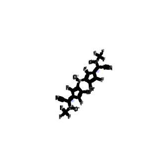 N#C/C(=C1/C(F)=C(Br)C([S+]([O-])C2=C(F)/C(=C(/C#N)[S+]([O-])C(F)(F)F)C(F)=C2Br)=C1F)[S+]([O-])C(F)(F)F